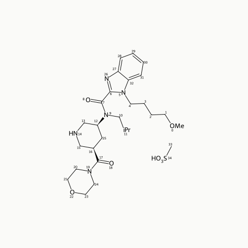 COCCCCn1c(C(=O)N(CC(C)C)[C@@H]2CNC[C@H](C(=O)N3CCOCC3)C2)nc2ccccc21.CS(=O)(=O)O